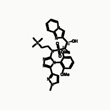 COc1cccc(OC)c1-n1c(-c2ccn(C)n2)nnc1N(CC[Si](C)(C)C)S(=O)(=O)[C@H](C)[C@@H](O)c1cn2ccccc2n1